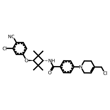 CC1(C)[C@H](NC(=O)c2ccc(N3CC=C(CCl)CC3)cc2)C(C)(C)[C@H]1Oc1ccc(C#N)c(Cl)c1